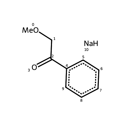 COCC(=O)c1ccccc1.[NaH]